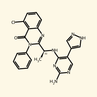 C[C@H](Nc1nc(N)ncc1-c1cn[nH]c1)c1nc2cccc(Cl)c2c(=O)n1-c1ccccc1